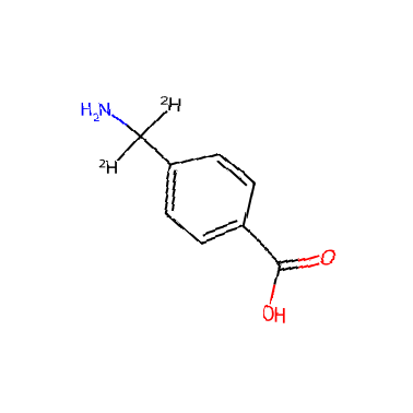 [2H]C([2H])(N)c1ccc(C(=O)O)cc1